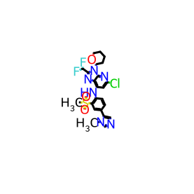 Cn1cncc1-c1ccc(Nc2cc(Cl)nc3c2nc(C(F)F)n3C2CCCCO2)c(S(C)(=O)=O)c1